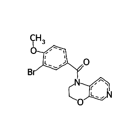 COc1ccc(C(=O)N2CCOc3cnccc32)cc1Br